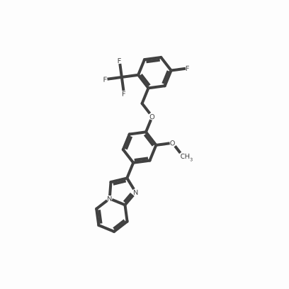 COc1cc(-c2cn3ccccc3n2)ccc1OCc1cc(F)ccc1C(F)(F)F